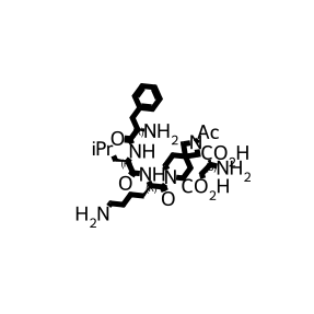 CC(=O)N1CC2(CCN(C(=O)[C@@H](CCCCN)NC(=O)[C@@H](CC(C)C)NC(=O)[C@H](N)Cc3ccccc3)CC2)C1.N[C@@H](CC(=O)O)C(=O)O